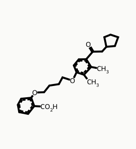 Cc1c(OCCCCOc2ccccc2C(=O)O)ccc(C(=O)CC2CCCC2)c1C